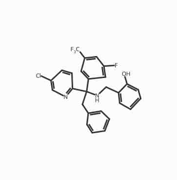 Oc1ccccc1CNC(Cc1ccccc1)(c1cc(F)cc(C(F)(F)F)c1)c1ccc(Cl)cn1